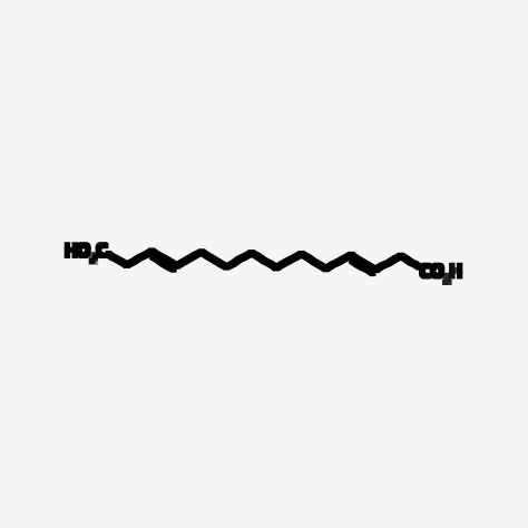 O=C(O)C/C=C/CCCCCC/C=C/CC(=O)O